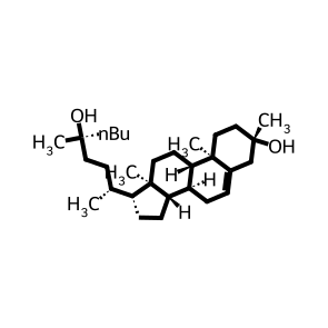 CCCC[C@](C)(O)CC[C@@H](C)[C@H]1CC[C@H]2[C@@H]3CC=C4C[C@@](C)(O)CC[C@]4(C)[C@H]3CC[C@]12C